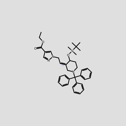 CCOC(=O)c1cnn(C/C=C2/CN(C(c3ccccc3)(c3ccccc3)c3ccccc3)CCC2O[Si](C)(C)C(C)(C)C)c1